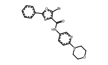 O=C(Nc1ccc(N2CCOCC2)nc1)c1nc(-c2ccccc2)oc1Br